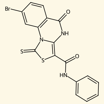 O=C(Nc1ccccc1)c1sc(=S)n2c1[nH]c(=O)c1ccc(Br)cc12